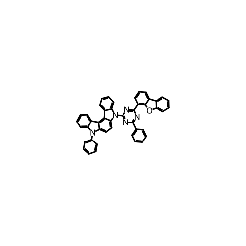 c1ccc(-c2nc(-c3cccc4c3oc3ccccc34)nc(-n3c4ccccc4c4c5c6ccccc6n(-c6ccccc6)c5ccc43)n2)cc1